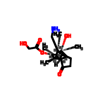 C[C@@H]1CC[C@@]23CCC(=O)[C@H]2[C@]1(C)[C@H](OC(=O)CO)C[C@@](C)(CN)[C@@H](O)[C@@H]3C